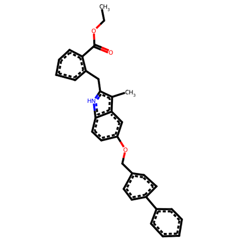 CCOC(=O)c1ccccc1Cc1[nH]c2ccc(OCc3ccc(-c4ccccc4)cc3)cc2c1C